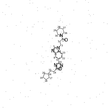 O=C(CCn1cnc2cc(-c3noc(CCC4CCCC4)n3)ccc21)N1CCCCC1